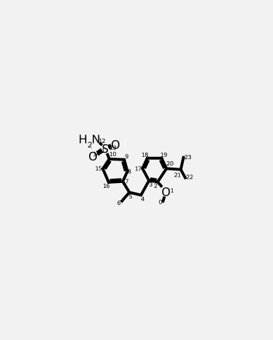 COc1c(CC(C)c2ccc(S(N)(=O)=O)cc2)cccc1C(C)C